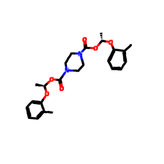 Cc1ccccc1O[C@@H](C)OC(=O)N1CCN(C(=O)O[C@H](C)Oc2ccccc2C)CC1